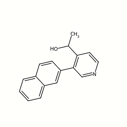 CC(O)c1ccncc1-c1ccc2ccccc2c1